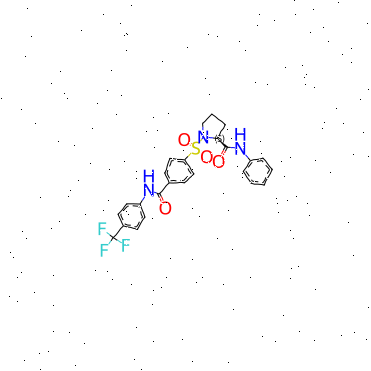 O=C(Nc1ccc(C(F)(F)F)cc1)c1ccc(S(=O)(=O)N2CCC[C@H]2C(=O)Nc2ccccc2)cc1